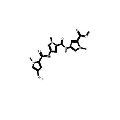 COC(=O)c1cc(NC(=O)c2cc(NC(=O)c3cc(N)cn3C)cn2C)cn1C